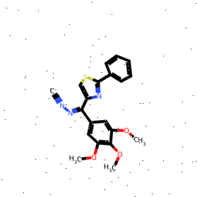 [C-]#[N+]N=C(c1cc(OC)c(OC)c(OC)c1)c1csc(-c2ccccc2)n1